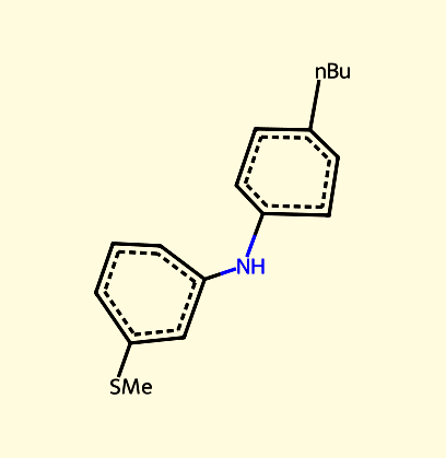 CCCCc1ccc(Nc2cccc(SC)c2)cc1